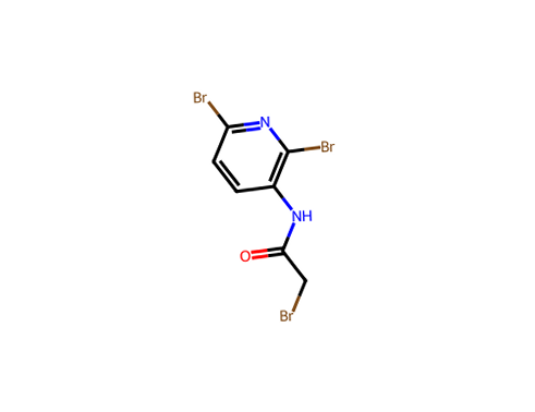 O=C(CBr)Nc1ccc(Br)nc1Br